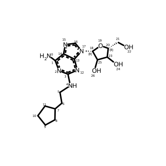 Nc1nc(NCCC2CCCC2)nc2c1ncn2[C@@H]1O[C@H](CO)C(O)C1O